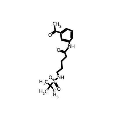 CC(=O)c1cccc(NC(=O)CCCCNS(=O)(=O)C(C)(C)C)c1